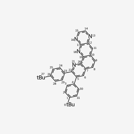 CC(C)(C)c1ccc(-c2cc3ccc4cc5nccnc5nc4c3nc2-c2ccc(C(C)(C)C)cc2)cc1